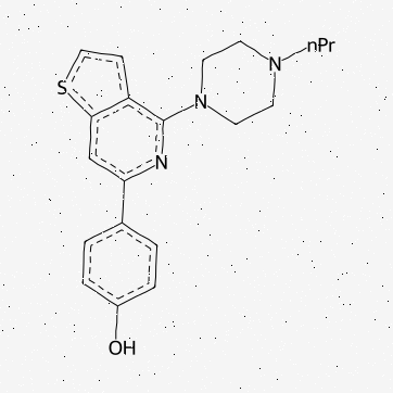 CCCN1CCN(c2nc(-c3ccc(O)cc3)cc3sccc23)CC1